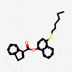 CCCCCCSc1ccc(OC(=O)C2=CCc3ccccc32)c2ccccc12